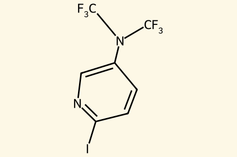 FC(F)(F)N(c1ccc(I)nc1)C(F)(F)F